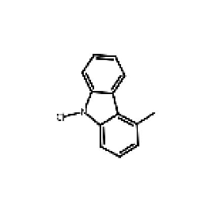 Cc1cccc2c1c1ccccc1n2Cl